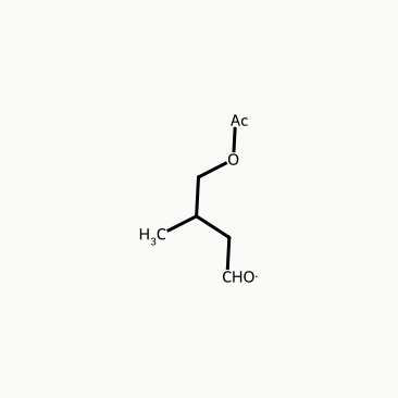 CC(=O)OCC(C)C[C]=O